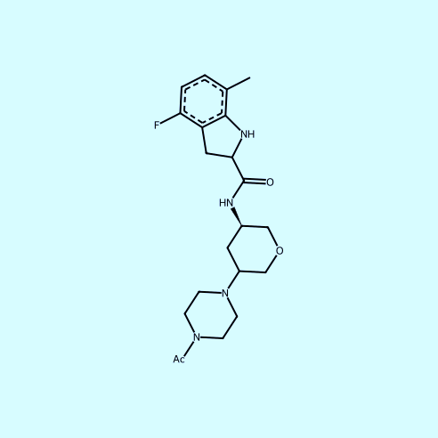 CC(=O)N1CCN(C2COC[C@H](NC(=O)C3Cc4c(F)ccc(C)c4N3)C2)CC1